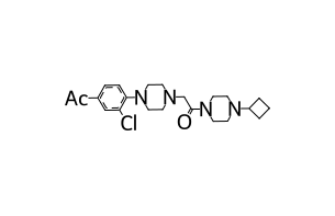 CC(=O)c1ccc(N2CCN(CC(=O)N3CCN(C4CCC4)CC3)CC2)c(Cl)c1